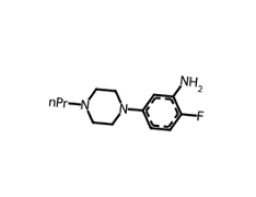 CCCN1CCN(c2ccc(F)c(N)c2)CC1